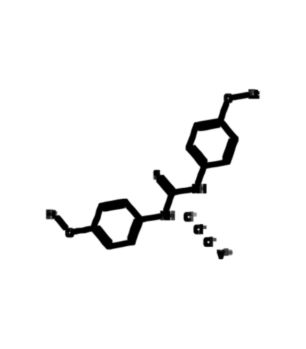 CCOc1ccc(NC(=S)Nc2ccc(OCC)cc2)cc1.[Cl-].[Cl-].[Cl-].[V+3]